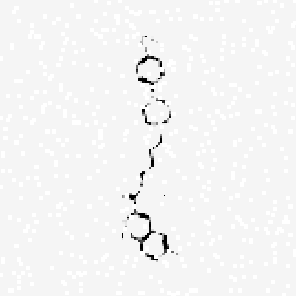 Cc1ccc2c(c1)C=C(C(=O)NCCCCN1CCN(c3ccc(C#N)cc3)CC1)CO2